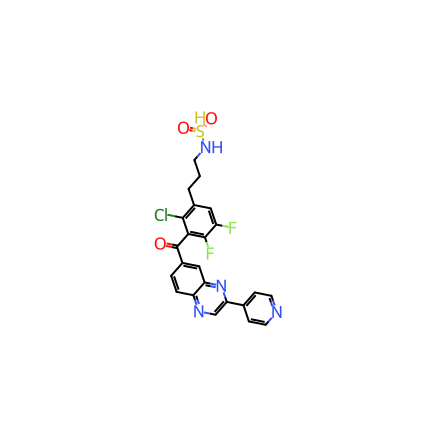 O=C(c1ccc2ncc(-c3ccncc3)nc2c1)c1c(F)c(F)cc(CCCN[SH](=O)=O)c1Cl